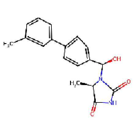 Cc1cccc(-c2ccc([C@@H](O)N3C(=O)NC(=O)[C@H]3C)cc2)c1